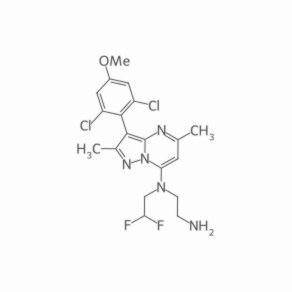 COc1cc(Cl)c(-c2c(C)nn3c(N(CCN)CC(F)F)cc(C)nc23)c(Cl)c1